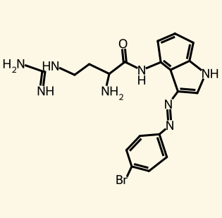 N=C(N)NCCC(N)C(=O)Nc1cccc2[nH]cc(/N=N/c3ccc(Br)cc3)c12